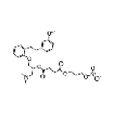 COc1cccc(CCc2ccccc2OCC(CN(C)C)OC(=O)CCC(=O)OCCCO[N+](=O)[O-])c1